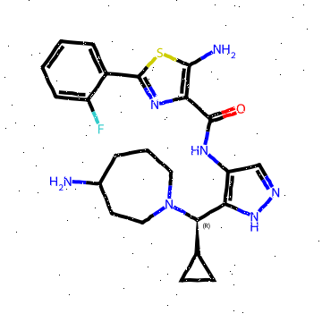 Nc1sc(-c2ccccc2F)nc1C(=O)Nc1cn[nH]c1[C@@H](C1CC1)N1CCCC(N)CC1